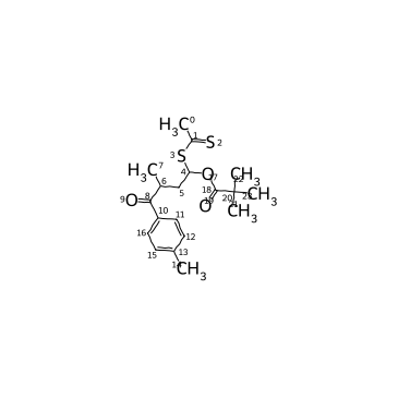 CC(=S)SC(CC(C)C(=O)c1ccc(C)cc1)OC(=O)C(C)(C)C